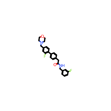 O=C(Cc1ccc(-c2ccc(CN3CCOCC3)cc2F)cc1)NCc1cccc(F)c1